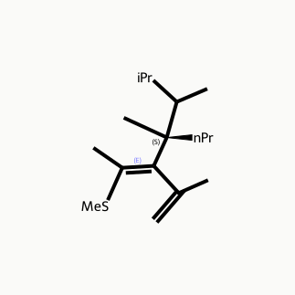 C=C(C)/C(=C(/C)SC)[C@@](C)(CCC)C(C)C(C)C